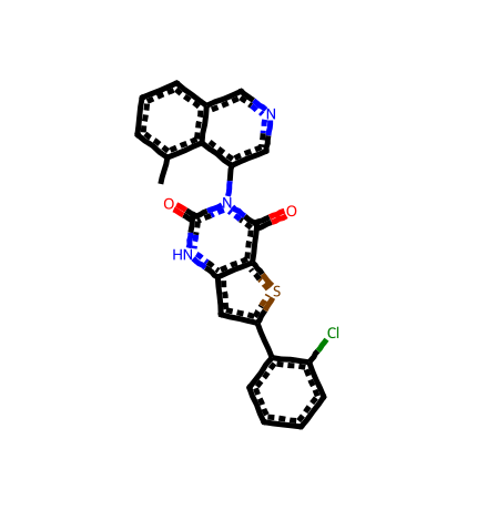 Cc1cccc2cncc(-n3c(=O)[nH]c4cc(-c5ccccc5Cl)sc4c3=O)c12